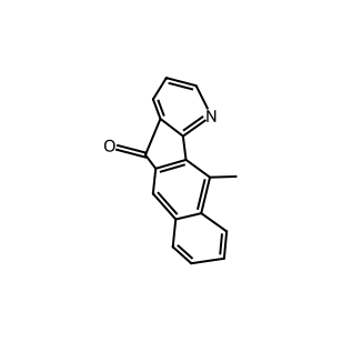 Cc1c2c(cc3ccccc13)C(=O)c1cccnc1-2